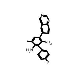 Cc1cc(-c2ccc3ncncc3c2)c(N)c(-c2ccc(F)cc2)c1N